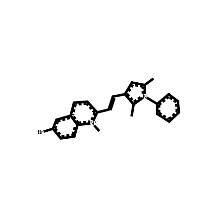 Cc1cc(/C=C/c2ccc3cc(Br)ccc3[n+]2C)c(C)n1-c1ccccc1